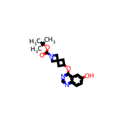 CC(C)(C)OC(=O)N1CC2(CC(Oc3ncnc4ccc(O)cc34)C2)C1